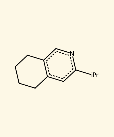 CC(C)c1cc2c(cn1)CCCC2